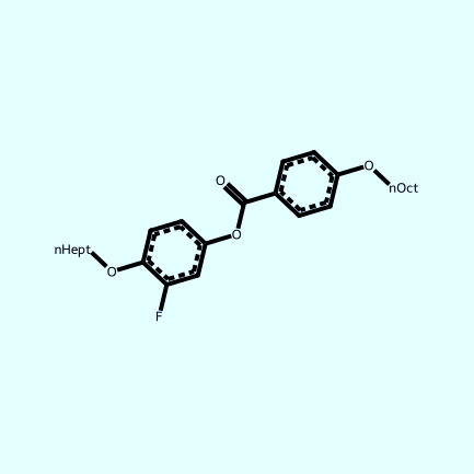 CCCCCCCCOc1ccc(C(=O)Oc2ccc(OCCCCCCC)c(F)c2)cc1